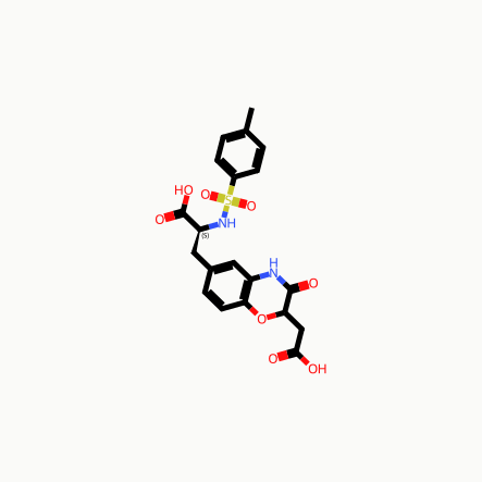 Cc1ccc(S(=O)(=O)N[C@@H](Cc2ccc3c(c2)NC(=O)C(CC(=O)O)O3)C(=O)O)cc1